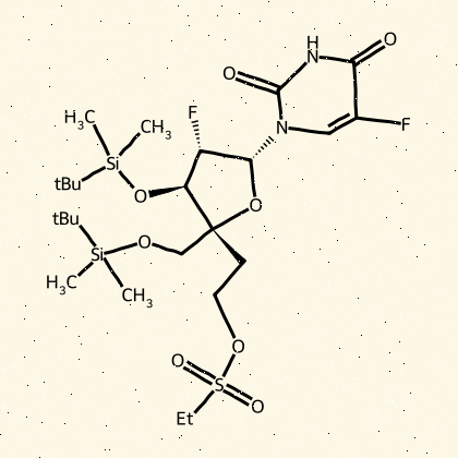 CCS(=O)(=O)OCC[C@]1(CO[Si](C)(C)C(C)(C)C)O[C@@H](n2cc(F)c(=O)[nH]c2=O)[C@@H](F)[C@@H]1O[Si](C)(C)C(C)(C)C